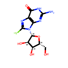 Nc1nc2c(nc([18F])n2[C@@H]2O[C@H](CO)[C@@H](O)[C@H]2O)c(=O)[nH]1